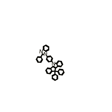 c1ccc(-c2nc3ccccc3n2-c2ccc(-n3c4c(c5ccccc53)C(c3ccccc3)(c3ccccc3)c3ccccc3-4)cc2)cc1